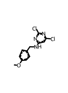 COc1ccc(CNc2cc(Cl)nc(Cl)n2)cc1